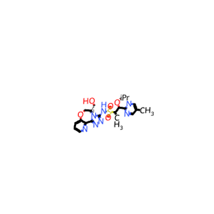 Cc1cnc(C(OC(C)C)C(C)S(=O)(=O)Nc2nnc3n2[C@@H](CO)COc2cccnc2-3)nc1